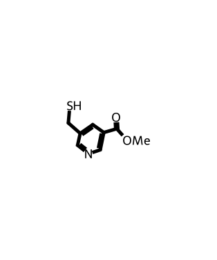 COC(=O)c1cncc(CS)c1